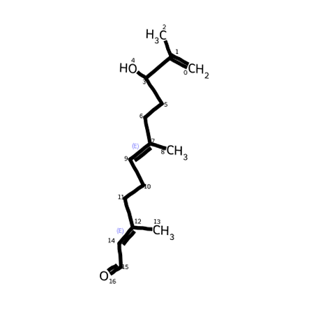 C=C(C)C(O)CC/C(C)=C/CC/C(C)=C/C=O